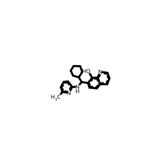 Cc1cccc(NC(c2ccc3cccnc3c2O)C2CCCCC2)n1